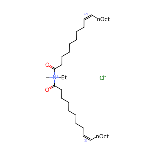 CCCCCCCC/C=C\CCCCCCCC(=O)[N+](C)(CC)C(=O)CCCCCCC/C=C\CCCCCCCC.[Cl-]